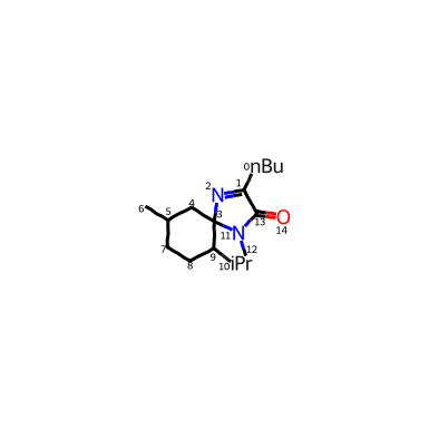 CCCCC1=NC2(CC(C)CCC2C(C)C)N(C)C1=O